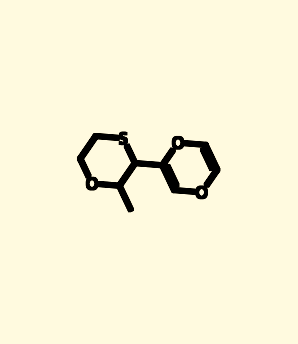 CC1OCCSC1C1=COC=CO1